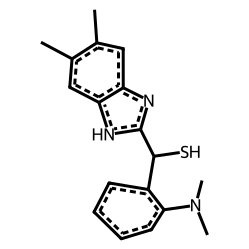 Cc1cc2nc(C(S)c3ccccc3N(C)C)[nH]c2cc1C